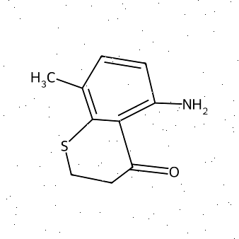 Cc1ccc(N)c2c1SCCC2=O